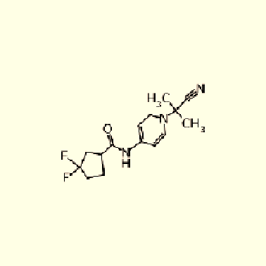 CC(C)(C#N)N1C=CC(NC(=O)C2CCC(F)(F)C2)=CC1